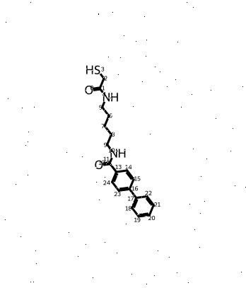 O=C(CS)NCCCCCNC(=O)c1ccc(-c2ccccc2)cc1